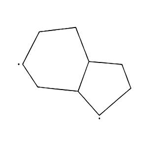 [CH]1CCC2CC[CH]C2C1